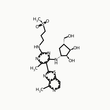 Cc1nc(NCCCS(C)(=O)=O)nc(N[C@@H]2C[C@H](CO)[C@@H](O)[C@H]2O)c1-c1nc2c(C)nccc2s1